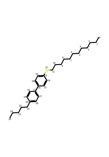 CCCCCCCCCCCCSc1ccc(-c2ccc(CCCCC)cc2)cc1